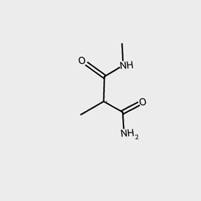 CNC(=O)[C](C)C(N)=O